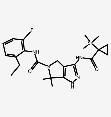 CCc1cccc(F)c1NC(=O)N1Cc2c(NC(=O)C3([Si](C)(C)C)CC3)n[nH]c2C1(C)C